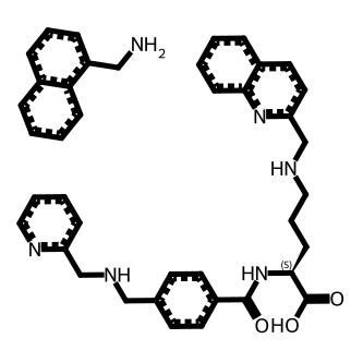 NCc1cccc2ccccc12.O=C(N[C@@H](CCCNCc1ccc2ccccc2n1)C(=O)O)c1ccc(CNCc2ccccn2)cc1